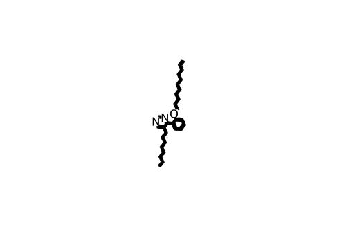 C=CCCCCCCCCCOc1ccccc1-c1ncncc1CCCCCCCC